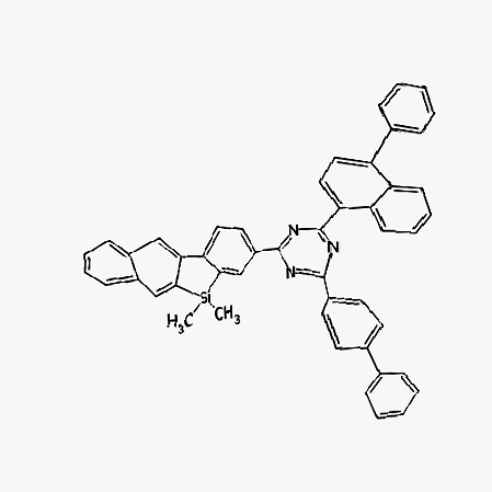 C[Si]1(C)c2cc(-c3nc(-c4ccc(-c5ccccc5)cc4)nc(-c4ccc(-c5ccccc5)c5ccccc45)n3)ccc2-c2cc3ccccc3cc21